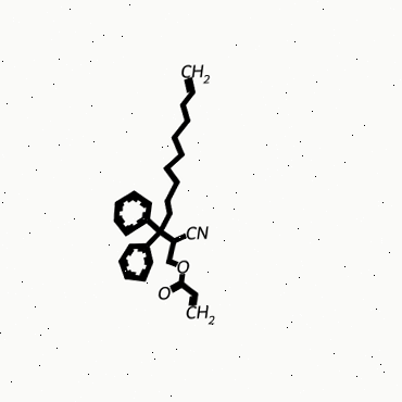 C=CCCCCCCCCC(c1ccccc1)(c1ccccc1)C(C#N)COC(=O)C=C